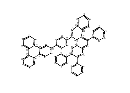 c1ccc(-c2nc3cc(-c4ccccc4)c4c5ccccc5nc(-c5ccc(-c6ccc7c8ccccc8c8ccccc8c7c6)cc5)c4c3nc2-c2ccccc2)cc1